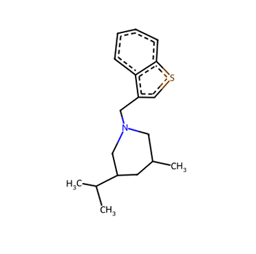 CC1CC(C(C)C)CN(Cc2csc3ccccc23)C1